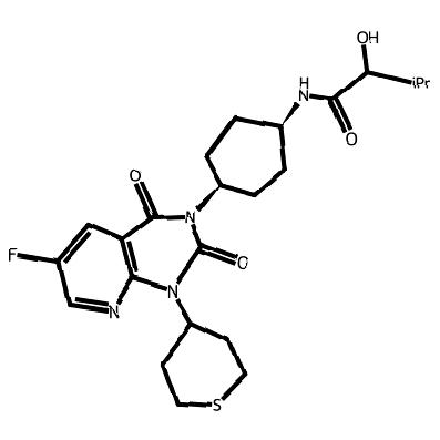 CC(C)C(O)C(=O)N[C@H]1CC[C@@H](n2c(=O)c3cc(F)cnc3n(C3CCSCC3)c2=O)CC1